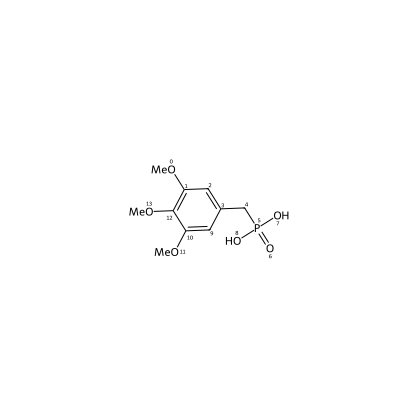 COc1cc(CP(=O)(O)O)cc(OC)c1OC